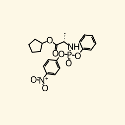 C[C@H](N[P@](=O)(Oc1ccccc1)Oc1ccc([N+](=O)[O-])cc1)C(=O)OC1CCCC1